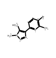 Cc1nc(-c2nnn(C)c2C(=O)O)ccc1Br